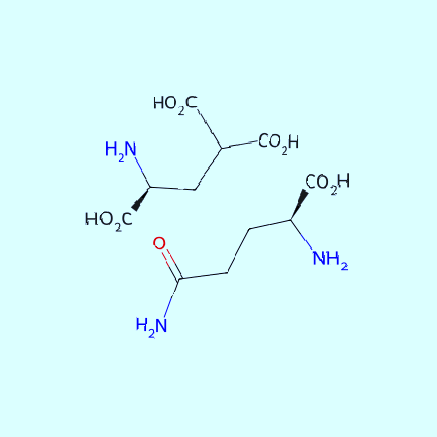 NC(=O)CC[C@H](N)C(=O)O.N[C@@H](CC(C(=O)O)C(=O)O)C(=O)O